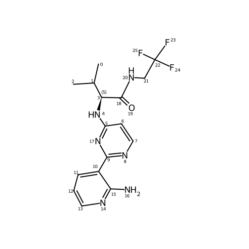 CC(C)[C@H](Nc1ccnc(-c2cccnc2N)n1)C(=O)NCC(F)(F)F